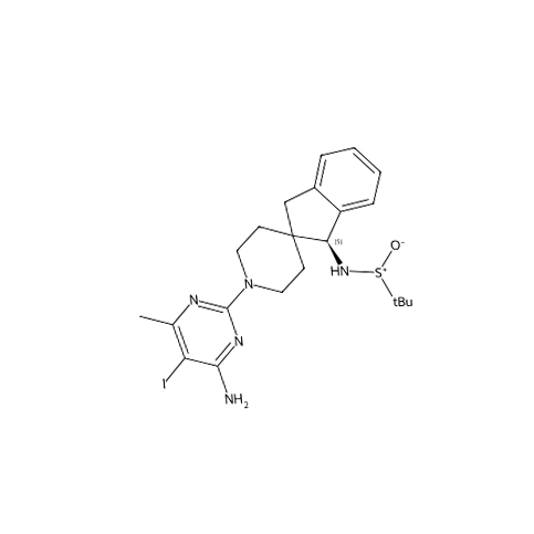 Cc1nc(N2CCC3(CC2)Cc2ccccc2[C@H]3N[S+]([O-])C(C)(C)C)nc(N)c1I